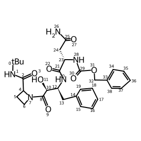 CC(C)(C)NC(=O)C1CCN1C(=O)[C@@H](O)[C@H](Cc1ccccc1)NC(=O)[C@H](CC(N)=O)NC(=O)OCc1ccccc1